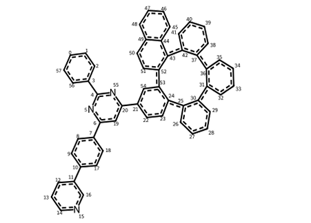 c1ccc(-c2nc(-c3ccc(-c4cccnc4)cc3)cc(-c3ccc4c5ccccc5c5ccccc5c5ccccc5c5c6ccccc6ccc5c4c3)n2)cc1